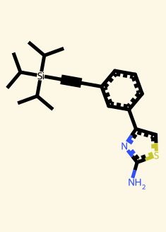 CC(C)[Si](C#Cc1cccc(-c2csc(N)n2)c1)(C(C)C)C(C)C